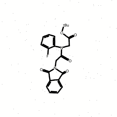 CC(C)(C)OC(=O)CN(C(=O)CN1C(=O)c2ccccc2C1=O)c1ccccc1F